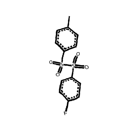 Cc1ccc(S(=O)(=O)S(=O)(=O)c2ccc(F)cc2)cc1